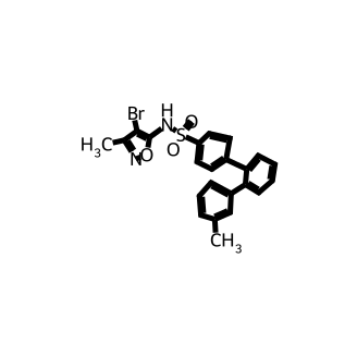 Cc1cccc(-c2ccccc2-c2ccc(S(=O)(=O)Nc3onc(C)c3Br)cc2)c1